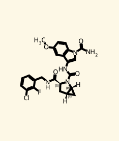 COc1ccc2c(c1)c(NC(=O)N1[C@@H]3C[C@@H]3C[C@H]1C(=O)NCc1cccc(Cl)c1F)cn2C(N)=O